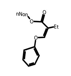 CCCCCCCCCOC(=O)C(=COc1ccccc1)CC